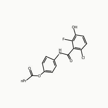 CCCC(=O)Oc1ccc(NC(=O)c2c(Cl)ccc(O)c2F)cc1